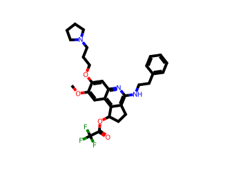 COc1cc2c3c(c(NCCc4ccccc4)nc2cc1OCCCN1CCCC1)CCC3OC(=O)C(F)(F)F